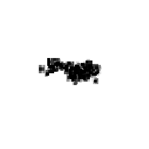 CCOC(O)/C=C/c1cnc(-c2cc3nc(C(=O)N4CCCCC[C@H]4C)cc(N(C)C)n3n2)c(Cl)c1